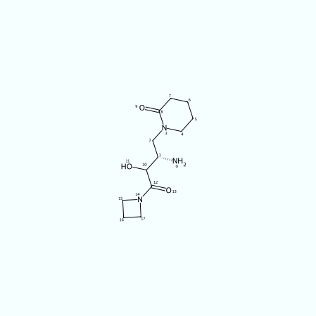 N[C@@H](CN1CCCCC1=O)C(O)C(=O)N1CCC1